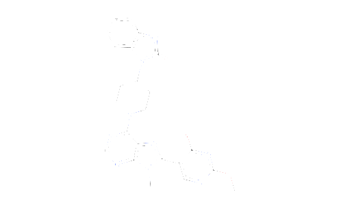 COc1ncc(-c2nc3c(N4CCC(n5c(=O)[nH]c6ccccc65)CC4)ncnc3n2C)c(OC)n1